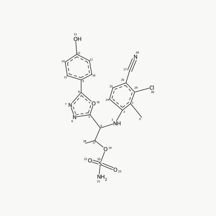 Cc1c(NC(c2nnc(-c3ccc(O)cc3)o2)C(C)OS(N)(=O)=O)ccc(C#N)c1Cl